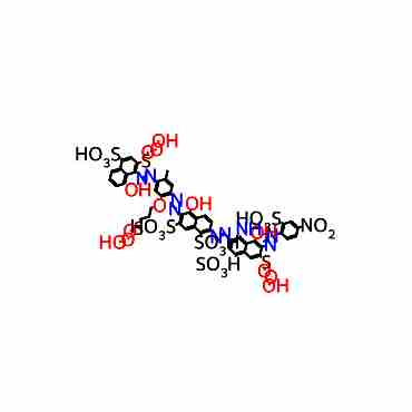 Cc1cc(N=Nc2c(S(=O)(=O)O)cc3c(S(=O)(=O)O)c(N=Nc4cc(S(=O)(=O)O)c5cc(SOOO)c(N=Nc6ccc([N+](=O)[O-])cc6S(=O)(=O)O)c(O)c5c4N)ccc3c2O)c(OCCCSOOO)cc1N=Nc1c(SOOO)cc(S(=O)(=O)O)c2cccc(O)c12